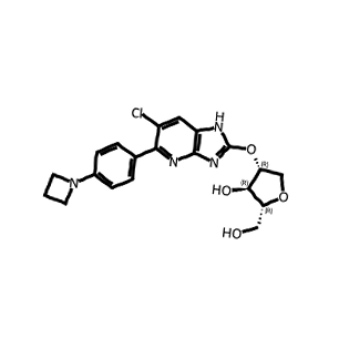 OC[C@H]1OC[C@@H](Oc2nc3nc(-c4ccc(N5CCC5)cc4)c(Cl)cc3[nH]2)[C@@H]1O